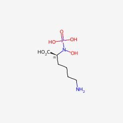 NCCCC[C@@H](C(=O)O)N(O)P(=O)(O)O